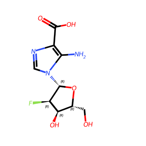 Nc1c(C(=O)O)ncn1[C@@H]1O[C@H](CO)[C@@H](O)[C@H]1F